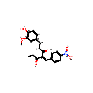 CCC(=O)C(=Cc1ccc([N+](=O)[O-])cc1)C(=O)CCc1ccc(O)c(OC)c1